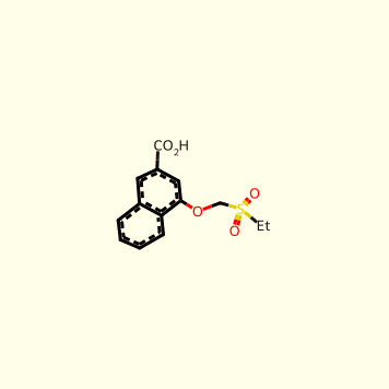 CCS(=O)(=O)COc1cc(C(=O)O)cc2ccccc12